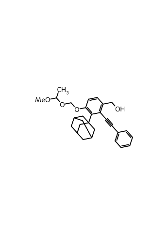 COC(C)OCOc1ccc(CO)c(C#Cc2ccccc2)c1C12CC3CC(CC(C3)C1)C2